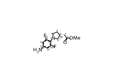 COC(=O)C[C@H]1CCN(c2c(F)cc(N)cc2F)C1